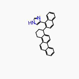 c1ccc2c(-c3c[nH]cn3)c(C3CCCc4c3ccc3c4ccc4ccccc43)ccc2c1